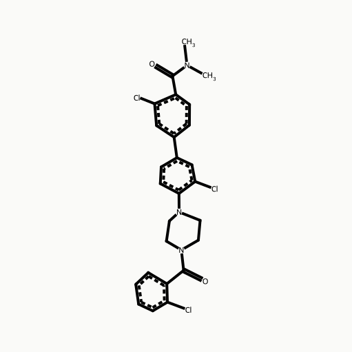 CN(C)C(=O)c1ccc(-c2ccc(N3CCN(C(=O)c4ccccc4Cl)CC3)c(Cl)c2)cc1Cl